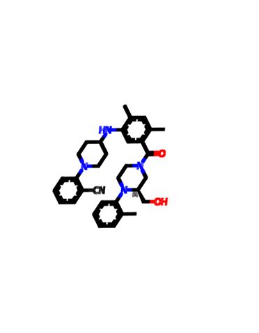 Cc1cc(C)c(C(=O)N2CCN(c3ccccc3C)[C@H](CO)C2)cc1NC1CCN(c2ccccc2C#N)CC1